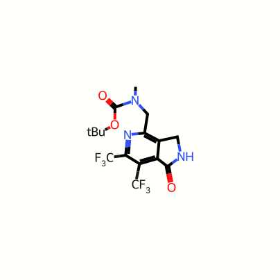 CN(Cc1nc(C(F)(F)F)c(C(F)(F)F)c2c1CNC2=O)C(=O)OC(C)(C)C